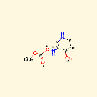 CC(C)(C)OC(=O)ON[C@H]1CNCC[C@H]1O